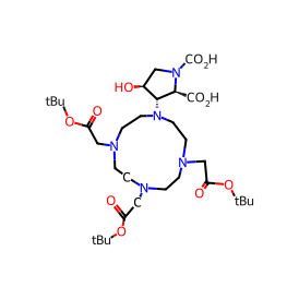 CC(C)(C)OC(=O)CN1CCN(CC(=O)OC(C)(C)C)CCN([C@@H]2[C@@H](O)CN(C(=O)O)[C@H]2C(=O)O)CCN(CC(=O)OC(C)(C)C)CC1